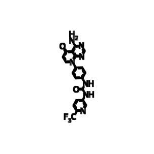 Nc1ncnc2c1c(=O)ccn2-c1ccc(NC(=O)Nc2ccc(C(F)(F)F)nc2)cc1